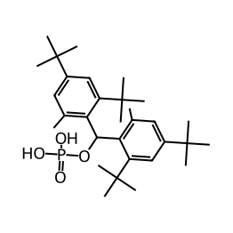 Cc1cc(C(C)(C)C)cc(C(C)(C)C)c1C(OP(=O)(O)O)c1c(C)cc(C(C)(C)C)cc1C(C)(C)C